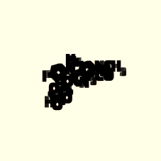 CS(C)(=O)=Nc1cc(Br)c2c(Nc3ccc(F)cc3O[C@@H]3CO[C@]45CO[C@@H]4CO[C@H]35)ncnc2c1